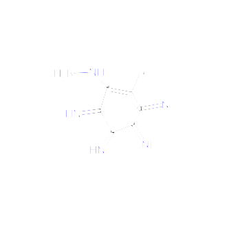 BNc1c(C)c(=N)c(=N)c(=N)c1=N